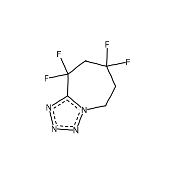 FC1(F)CCn2nnnc2C(F)(F)C1